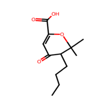 CCCCC1C(=O)C=C(C(=O)O)OC1(C)C